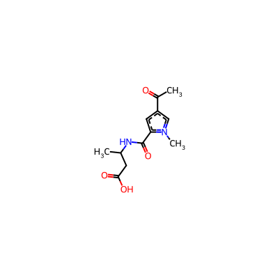 CC(=O)c1cc(C(=O)NC(C)CC(=O)O)n(C)c1